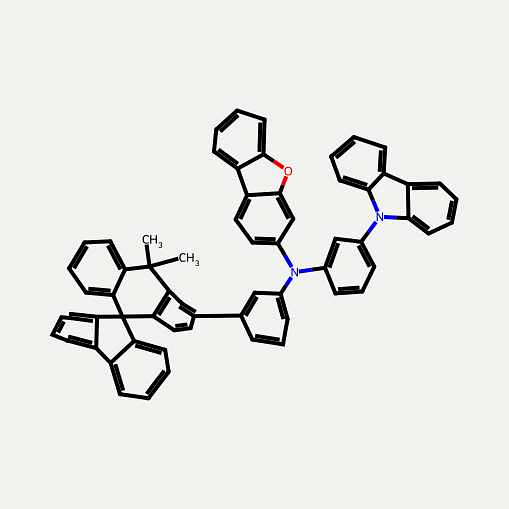 CC1(C)c2ccccc2C2(c3ccccc3-c3ccccc32)c2ccc(-c3cccc(N(c4cccc(-n5c6ccccc6c6ccccc65)c4)c4ccc5c(c4)oc4ccccc45)c3)cc21